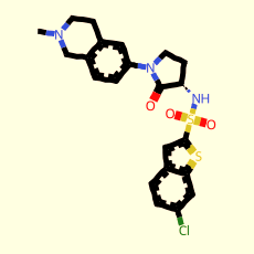 CN1CCc2cc(N3CC[C@H](NS(=O)(=O)c4cc5ccc(Cl)cc5s4)C3=O)ccc2C1